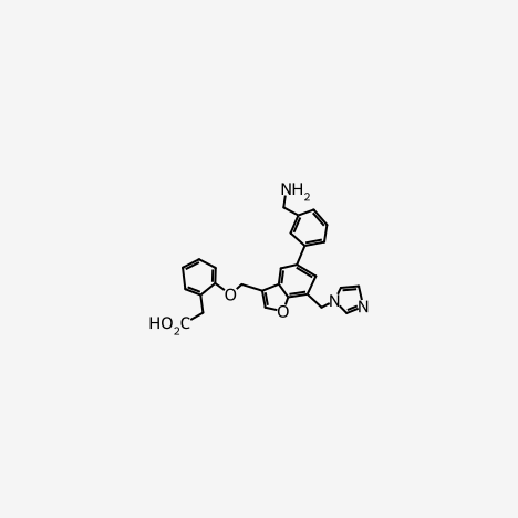 NCc1cccc(-c2cc(Cn3ccnc3)c3occ(COc4ccccc4CC(=O)O)c3c2)c1